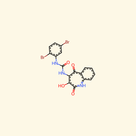 O=C(Nc1cc(Br)ccc1Br)Nc1c(O)c(=O)[nH]c2ccccc2c1=O